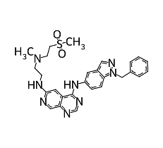 CN(CCNc1cc2c(Nc3ccc4c(cnn4Cc4ccccc4)c3)ncnc2cn1)CCS(C)(=O)=O